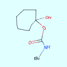 CC(C)(C)NC(=O)OC1(O)CCCCC1